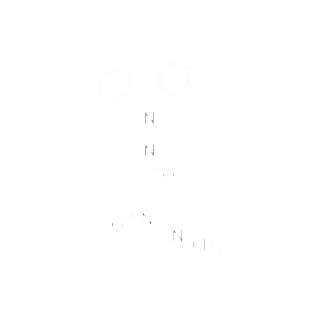 CN1CCN(C(=O)C2CC2C(=O)N2CCN(C(c3ccccc3)c3ccccc3)CC2)CC1